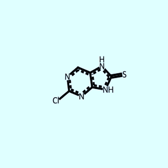 S=c1[nH]c2cnc(Cl)nc2[nH]1